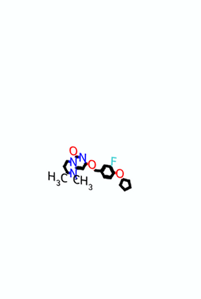 CC1CCn2c(cc(OCc3ccc(OC4CCCC4)c(F)c3)nc2=O)N1C